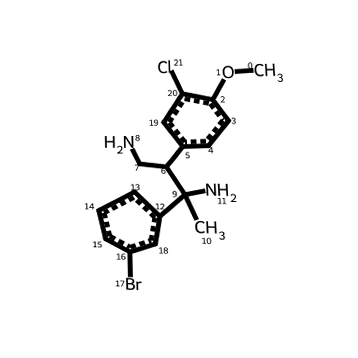 COc1ccc(C(CN)C(C)(N)c2cccc(Br)c2)cc1Cl